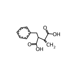 C=C(C(=O)O)C(Cc1ccccc1)C(=O)O